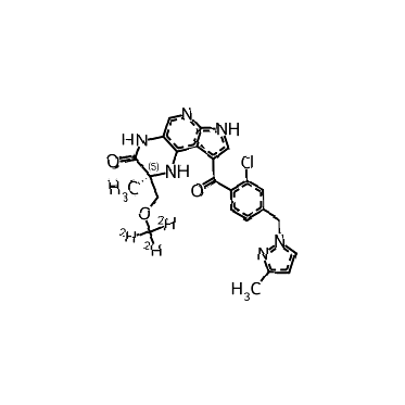 [2H]C([2H])([2H])OC[C@]1(C)Nc2c(cnc3[nH]cc(C(=O)c4ccc(Cn5ccc(C)n5)cc4Cl)c23)NC1=O